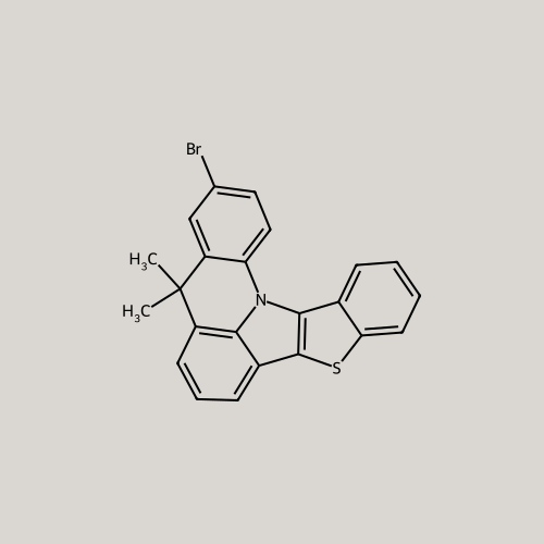 CC1(C)c2cc(Br)ccc2-n2c3c1cccc3c1sc3ccccc3c12